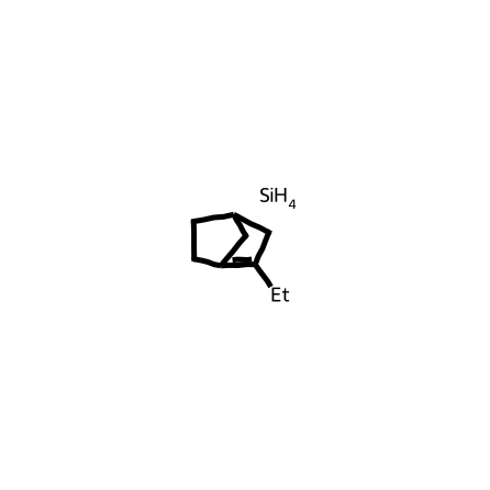 CCC1=C2CCC(C1)C2.[SiH4]